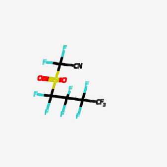 N#CC(F)(F)S(=O)(=O)C(F)(F)C(F)(F)C(F)(F)C(F)(F)F